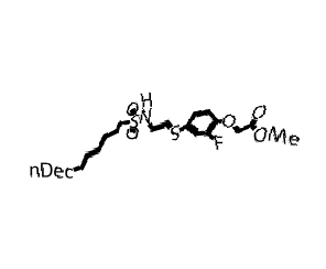 CCCCCCCCCCCCCCCCS(=O)(=O)NCCSc1ccc(OCC(=O)OC)c(F)c1